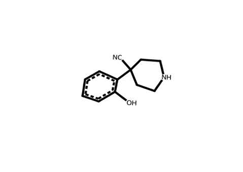 N#CC1(c2ccccc2O)CCNCC1